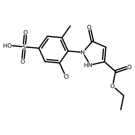 CCOC(=O)c1cc(=O)n(-c2c(C)cc(S(=O)(=O)O)cc2Cl)[nH]1